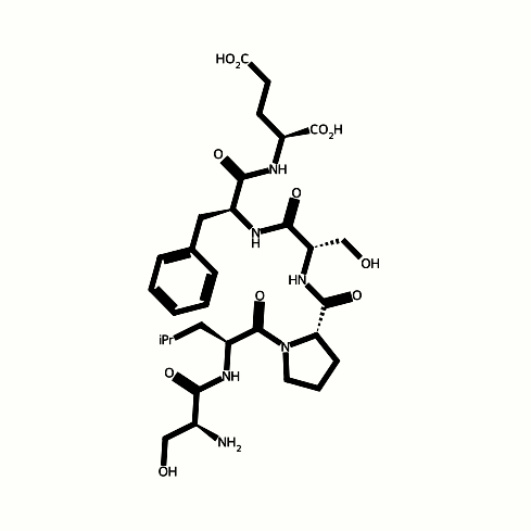 CC(C)C[C@H](NC(=O)[C@@H](N)CO)C(=O)N1CCC[C@H]1C(=O)N[C@@H](CO)C(=O)N[C@@H](Cc1ccccc1)C(=O)N[C@@H](CCC(=O)O)C(=O)O